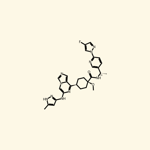 CO[C@]1(C(=O)N[C@@H](C)c2ccc(-n3cc(F)cn3)nc2)CC[C@H](c2nc(Nc3cc(C)[nH]n3)cn3cncc23)CC1